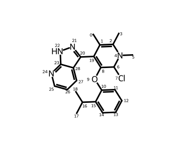 CC1=C(C)N(C)C(Cl)C(Oc2ccccc2C(C)C)=C1c1n[nH]c2ncccc12